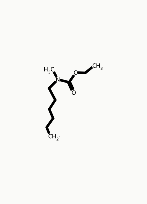 [CH2]CCCCCN(C)C(=O)OCC